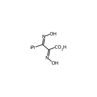 CC(C)C(=NO)C(=NO)C(=O)O